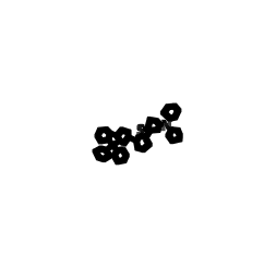 c1ccc(N(c2ccccc2)c2ccc3sc4c(-c5ccc6c(c5)C(c5ccccc5)(c5ccccc5)c5ccccc5-6)cccc4c3c2)cc1